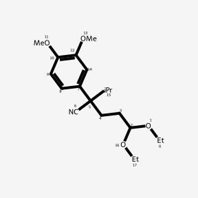 CCOC(CCC(C#N)(c1ccc(OC)c(OC)c1)C(C)C)OCC